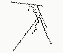 C=CCCCCCCCCCCCCCCC=CCC(CCCC)CCCCCCC(CCCCCCCCCC)CC(CCCCCCCCCCCCCCCCCCCC=C)C(CC(C)CC(C)CC(C)CC(C)CC(C)CC=C)=C(CCCCCCCCCCCCCCCCCCCCCCCCCCC=C)CC(C)CCCC(C)CC(C)CCC=C